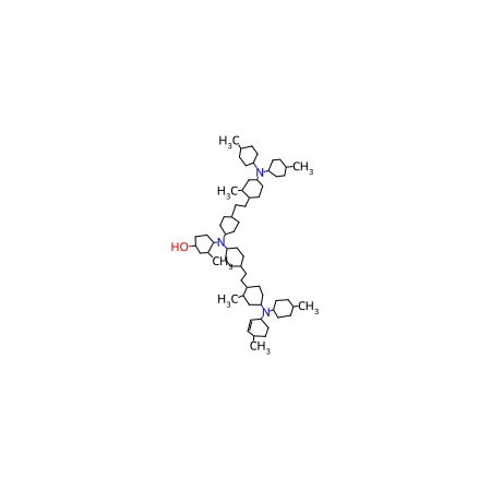 CC1C=CC(N(C2CCC(C)CC2)C2CCC(CCC3CCC(N(C4CCC(CCC5CCC(N(C6CCC(C)CC6)C6CCC(C)CC6)CC5C)CC4)C4CCC(O)CC4C)CC3)C(C)C2)CC1